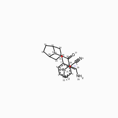 N#Cc1ccccc1SN1C2CCC1CN(C(=O)/C(=C/N)NN)C2